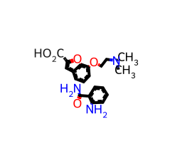 CN(C)CCOc1cccc2cc(C(=O)O)oc12.NC(=O)c1ccccc1N